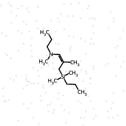 CCCN(C)C=C(C)C[Si](C)(C)CCC